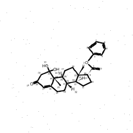 C=C(Oc1ccccc1)[C@@H]1CC[C@H]2[C@@H]3CCC4=CC(=O)CC(O)(O)[C@]4(C)[C@H]3CC[C@]12C